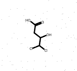 O=C(O)CC(O)C(Cl)Cl